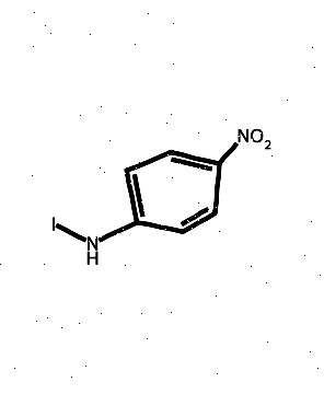 O=[N+]([O-])c1ccc(NI)cc1